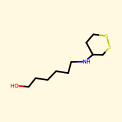 OCCCCCCNC1CCSSC1